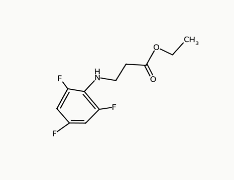 CCOC(=O)CCNc1c(F)cc(F)cc1F